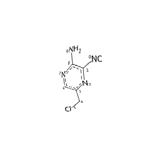 [C-]#[N+]c1nc(CCl)cnc1N